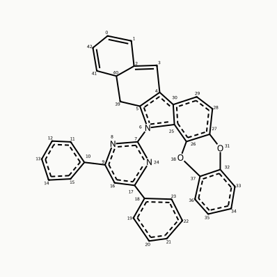 C1=CC2=Cc3c(n(-c4nc(-c5ccccc5)cc(-c5ccccc5)n4)c4c5c(ccc34)Oc3ccccc3O5)CC2C=C1